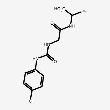 CC(C)C(NC(=O)CNC(=O)Nc1ccc(Cl)cc1)C(=O)O